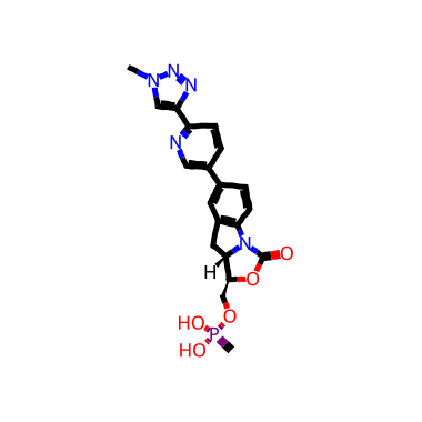 C=P(O)(O)OC[C@@H]1OC(=O)N2c3ccc(-c4ccc(-c5cn(C)nn5)nc4)cc3C[C@@H]12